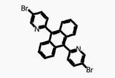 Brc1ccc(-c2c3ccccc3c(-c3ccc(Br)cn3)c3ccccc23)nc1